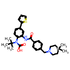 CC(C)(C)N(C(=O)O)c1ccc(-c2cccs2)cc1NC(=O)c1ccc(CN2CC[Si](C)(C)CC2)cc1